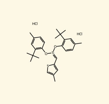 Cc1csc([CH]=[Ti]([O]c2ccc(C)cc2C(C)(C)C)[O]c2ccc(C)cc2C(C)(C)C)c1.Cl.Cl